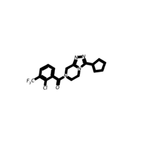 O=C(c1cccc(C(F)(F)F)c1Cl)N1CCn2c(nnc2C2CCCC2)C1